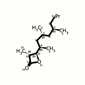 CC(C)C[C@@H](C)C[C@@H](C)C[C@@H](C)[C@H]1OC(=O)[C@@H]1C